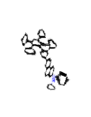 C1=CCCC(N(c2ccccc2)c2ccc3c(ccc4cc(-c5ccc6c(c5)c5ccccc5c5c(-c7ccccc7)cc(-c7ccccc7)c(-c7ccccc7)c65)ccc43)c2)=C1